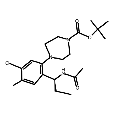 CC[C@H](NC(C)=O)c1cc(C)c(Cl)cc1N1CCN(C(=O)OC(C)(C)C)CC1